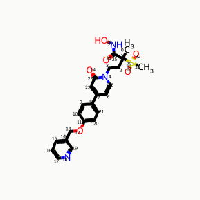 CC(CCn1ccc(-c2ccc(OCc3cccnc3)cc2)cc1=O)(C(=O)NO)S(C)(=O)=O